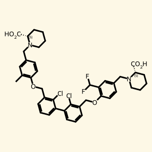 Cc1cc(CN2CCCC[C@H]2C(=O)O)ccc1OCc1cccc(-c2cccc(COc3ccc(CN4CCCC[C@H]4C(=O)O)cc3C(F)F)c2Cl)c1Cl